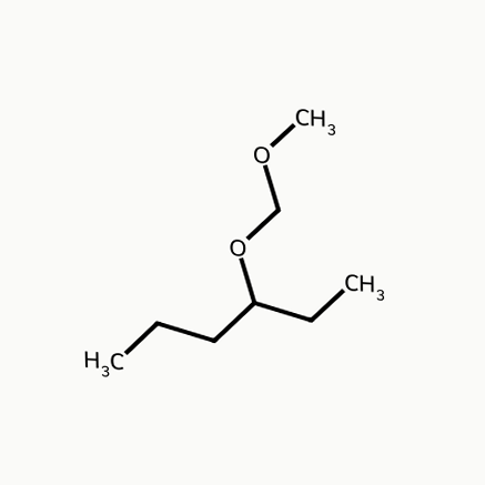 CCCC(CC)OCOC